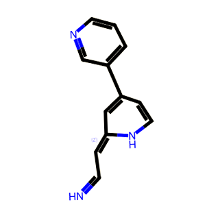 N=C/C=C1/C=C(c2cccnc2)C=CN1